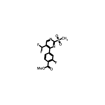 COC(=O)c1ccc(-c2nc(S(C)(=O)=O)ncc2C(F)F)cc1F